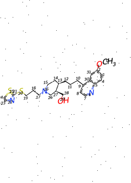 COc1ccc2nccc(CCC[C@@H]3CCN(CCCSc4nccs4)C[C@@H]3CO)c2c1